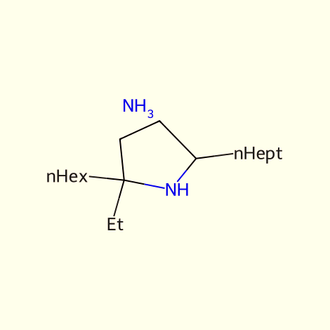 CCCCCCCC1CCC(CC)(CCCCCC)N1.N